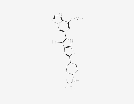 COc1cc(-c2[nH]c3sc(C4CCC(NS(C)(=O)=O)CC4)nc3c2C(C)C)cn2ncnc12